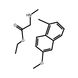 CCOC(=O)CNC.COc1ccc2c(C)cccc2c1